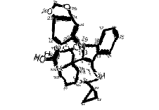 CC(C)(C)C1(c2c(NC(=O)C3CC3)c3ccccc3n2-c2ccc3c(c2)OCO3)CCCCN1C(=O)O